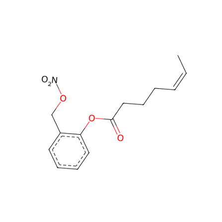 C/C=C\CCCC(=O)Oc1ccccc1CO[N+](=O)[O-]